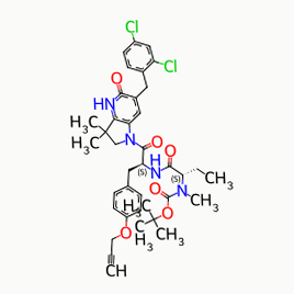 C#CCOc1ccc(C[C@H](NC(=O)[C@H](CC)N(C)C(=O)OC(C)(C)C)C(=O)N2CC(C)(C)c3[nH]c(=O)c(Cc4ccc(Cl)cc4Cl)cc32)cc1